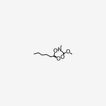 CCCCCC(=O)ON(C)C(=O)OC